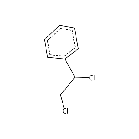 ClCC(Cl)c1ccccc1